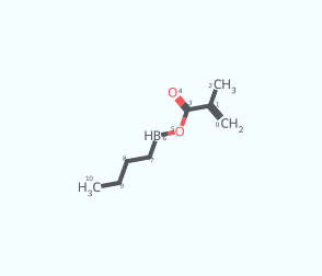 C=C(C)C(=O)OBCCCC